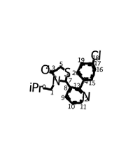 CC(C)CN1C(=O)CSC1c1cccnc1-c1ccc(Cl)cc1